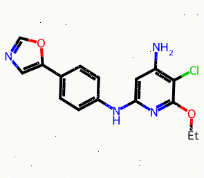 CCOc1nc(Nc2ccc(-c3cnco3)cc2)cc(N)c1Cl